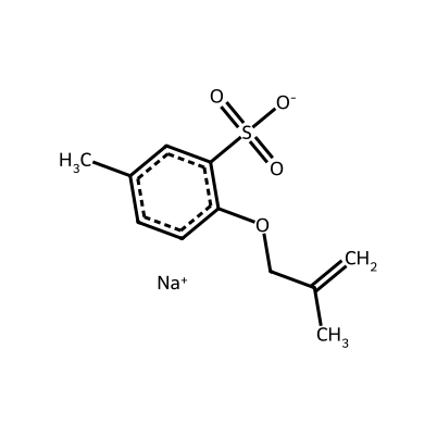 C=C(C)COc1ccc(C)cc1S(=O)(=O)[O-].[Na+]